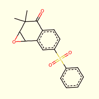 CC1(C)C(=O)c2ccc(S(=O)(=O)c3ccccc3)cc2C2OC21